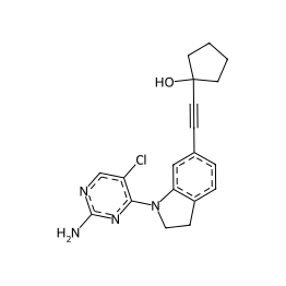 Nc1ncc(Cl)c(N2CCc3ccc(C#CC4(O)CCCC4)cc32)n1